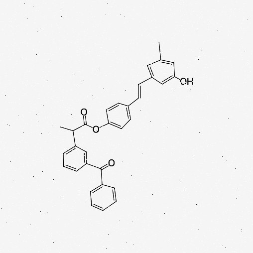 Cc1cc(O)cc(/C=C/c2ccc(OC(=O)C(C)c3cccc(C(=O)c4ccccc4)c3)cc2)c1